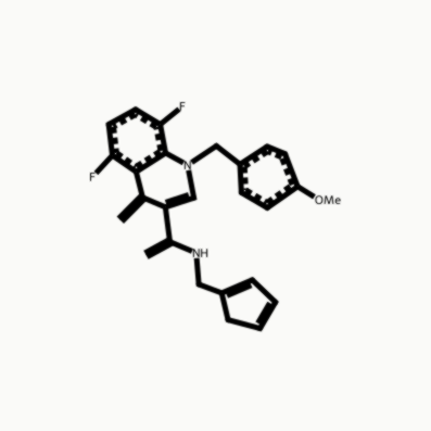 C=C(NCC1=CC=CC1)C1=CN(Cc2ccc(OC)cc2)c2c(F)ccc(F)c2C1=C